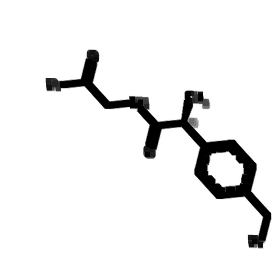 CC(C)Cc1ccc([C@H](C)C(=O)NCC(=O)C(C)C)cc1